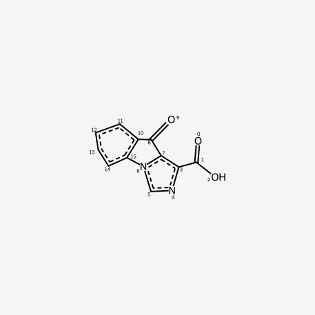 O=C(O)c1ncn2c1C(=O)c1ccccc1-2